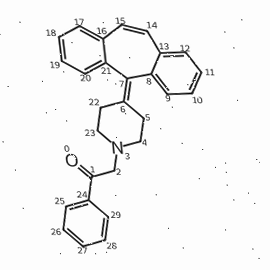 O=C(CN1CCC(=C2c3ccccc3C=Cc3ccccc32)CC1)c1ccccc1